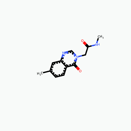 CNC(=O)Cn1cnc2cc(C)ccc2c1=O